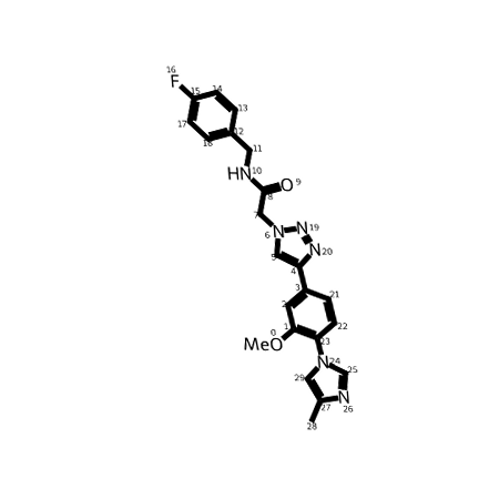 COc1cc(-c2cn(CC(=O)NCc3ccc(F)cc3)nn2)ccc1-n1cnc(C)c1